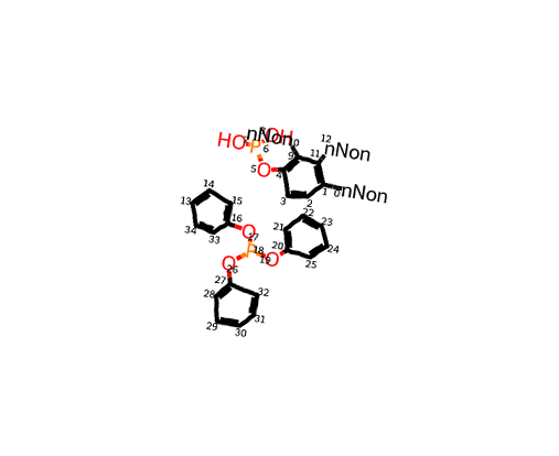 CCCCCCCCCc1ccc(OP(O)O)c(CCCCCCCCC)c1CCCCCCCCC.c1ccc(OP(Oc2ccccc2)Oc2ccccc2)cc1